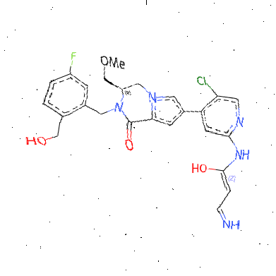 COC[C@H]1Cn2cc(-c3cc(N/C(O)=C/C=N)ncc3Cl)cc2C(=O)N1Cc1cc(F)ccc1CO